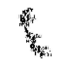 CC(C)[C@H](CO)Nc1nc(Nc2ccc(C(=O)NCCOCCNC(=O)CC[C@H](NC(=O)c3ccc(N(C)Cc4cnc5nc(N)nc(NC(=O)OC(C)(C)C)c5n4)cc3)C(=O)OC(C)(C)C)c(Cl)c2)c2ncn(C(C)C)c2n1